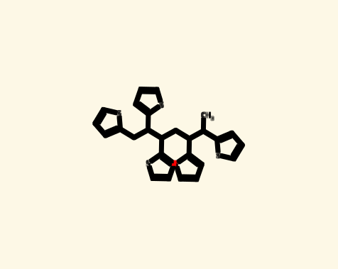 CC(c1cccs1)C(CC(c1cccs1)C(Cc1cccs1)c1cccs1)c1cccs1